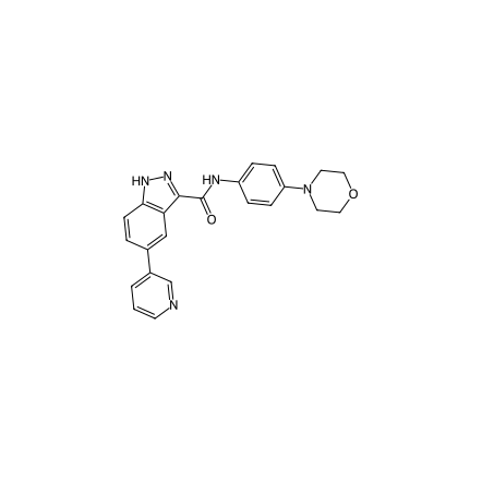 O=C(Nc1ccc(N2CCOCC2)cc1)c1n[nH]c2ccc(-c3cccnc3)cc12